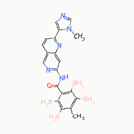 Bc1c(B)c(C(=O)Nc2cc3nc(-c4cncn4C)ccc3cn2)c(B)c(B)c1C